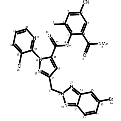 CNC(=O)c1cc(C#N)cc(C)c1NC(=O)c1cc(Cn2nc3ccc(Br)cc3n2)nn1-c1ncccc1Cl